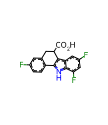 O=C(O)C1Cc2cc(F)ccc2-c2[nH]c3c(F)cc(F)cc3c21